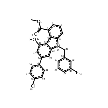 COC(=O)c1cccc2c1c1c(O)cc(-c3ccc(Cl)cc3)cc1n2Cc1cccc(F)c1